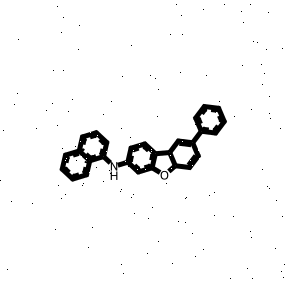 C1=CC2Oc3cc(Nc4cccc5ccccc45)ccc3C2C=C1c1ccccc1